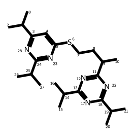 CC(C)c1cc(SCCC(C)c2nc(C(C)C)nc(C(C)C)n2)nc(C(C)C)n1